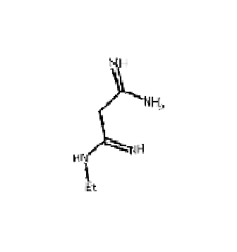 CCNC(=N)CC(=N)N